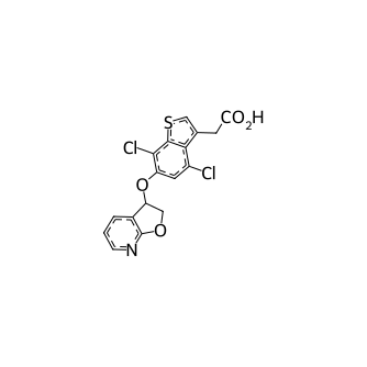 O=C(O)Cc1csc2c(Cl)c(OC3COc4ncccc43)cc(Cl)c12